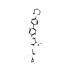 CS(=O)(=O)C(C(=O)NCC(=O)NC1CC1)c1nc2cc(F)c(-c3ccc(N4CCCCC4=O)cc3)cc2s1